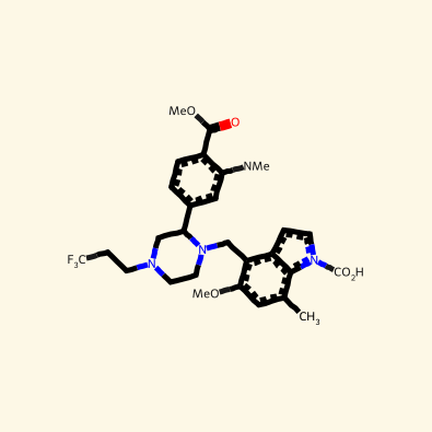 CNc1cc(C2CN(CCC(F)(F)F)CCN2Cc2c(OC)cc(C)c3c2ccn3C(=O)O)ccc1C(=O)OC